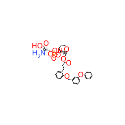 N[C@@H](COP(=O)(O)O[C@H]1CCCO[C@H]1COC(=O)CCc1ccccc1OCc1cccc(Oc2ccccc2)c1)C(=O)O